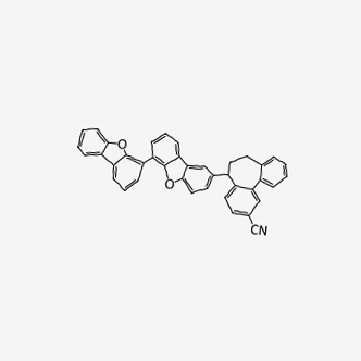 N#Cc1ccc2c(c1)-c1ccccc1CCC2c1ccc2oc3c(-c4cccc5c4oc4ccccc45)cccc3c2c1